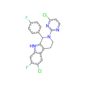 Fc1ccc(C2c3[nH]c4cc(F)c(Cl)cc4c3CCN2c2nccc(Cl)n2)cc1